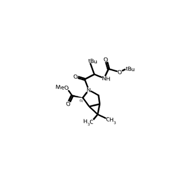 COC(=O)[C@@H]1C2C(CN1C(=O)C(NC(=O)OC(C)(C)C)C(C)(C)C)C2(C)C